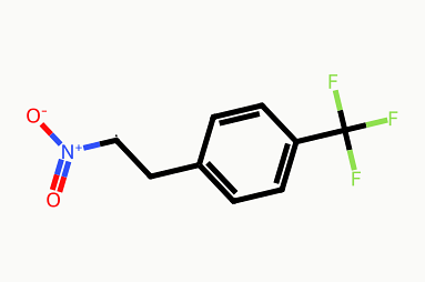 O=[N+]([O-])[CH]Cc1ccc(C(F)(F)F)cc1